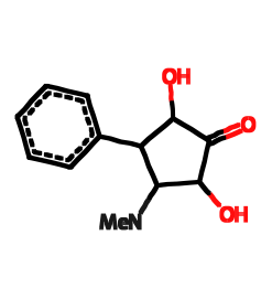 CNC1C(O)C(=O)C(O)C1c1ccccc1